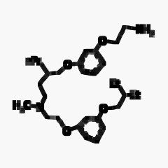 CCCC(CCN(C)CCOc1cccc(OCC(CC)CC)c1)COc1cccc(OCCN)c1